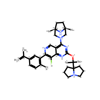 [2H]C([2H])(Oc1nc(N2C[C@H]3CC[C@@H](C2)N3)c2cnc(-c3cc(C(=C)C)ccc3CC)c(F)c2n1)C12CCCN1CCC2